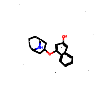 Oc1cc(OC2CC3CCCC(C2)N3)c2ccccc2c1